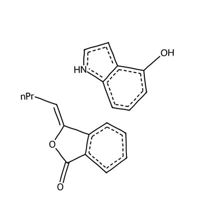 CCCC=C1OC(=O)c2ccccc21.Oc1cccc2[nH]ccc12